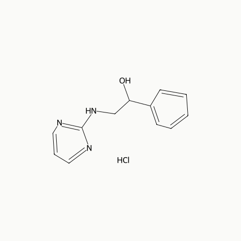 Cl.OC(CNc1ncccn1)c1ccccc1